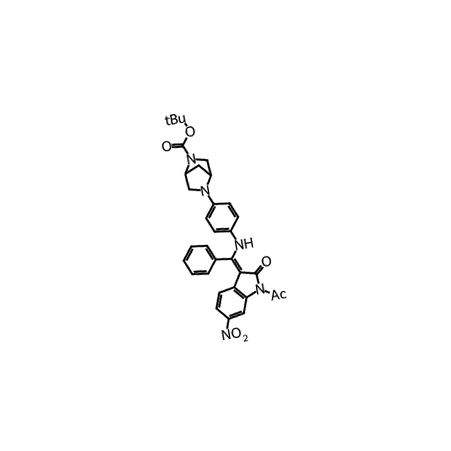 CC(=O)N1C(=O)/C(=C(\Nc2ccc(N3CC4CC3CN4C(=O)OC(C)(C)C)cc2)c2ccccc2)c2ccc([N+](=O)[O-])cc21